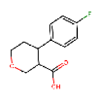 O=C(O)C1COCCC1c1ccc(F)cc1